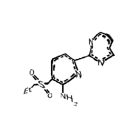 CCS(=O)(=O)c1ccc(-c2ncccn2)nc1N